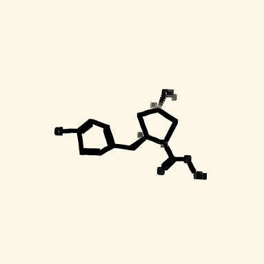 C[C@H]1C[C@H](Cc2ccc(Cl)cc2)N(C(=O)OC(C)(C)C)C1